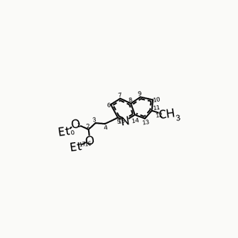 CCOC(CCc1ccc2ccc(C)cc2n1)OCC